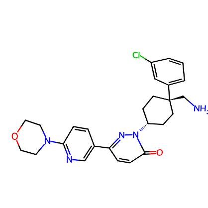 NC[C@]1(c2cccc(Cl)c2)CC[C@@H](n2nc(-c3ccc(N4CCOCC4)nc3)ccc2=O)CC1